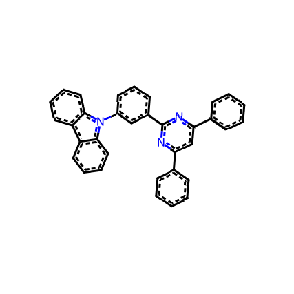 c1ccc(-c2cc(-c3ccccc3)nc(-c3cccc(-n4c5ccccc5c5ccccc54)c3)n2)cc1